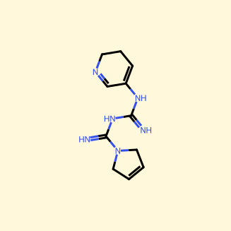 N=C(NC(=N)N1CC=CC1)NC1=CCCN=C1